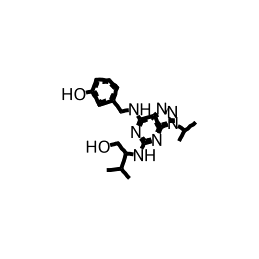 CC(C)C(CO)Nc1nc(NCc2cccc(O)c2)c2nnn(C(C)C)c2n1